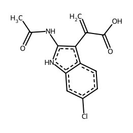 C=C(C(=O)O)c1c(NC(C)=O)[nH]c2cc(Cl)ccc12